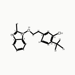 Cc1nc2ccccc2n1OCCc1ccc(C(C)(C)C)c(Cl)c1